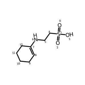 O=S(=O)(O)CCNC1=CCCCC1